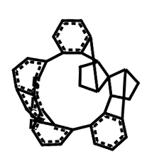 c1cc2c3c(c1)C1CCC3C13C1CCC3c3c(cccc31)-c1ccc3ccc4c-2ccc2ccc1c3c24